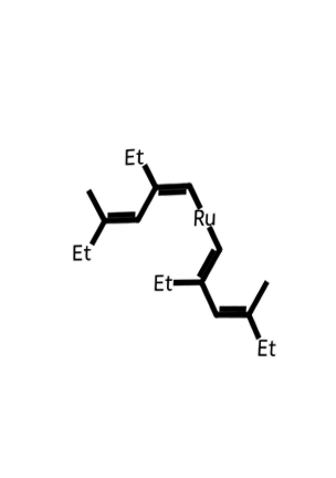 CCC(C)=CC(=[CH][Ru][CH]=C(C=C(C)CC)CC)CC